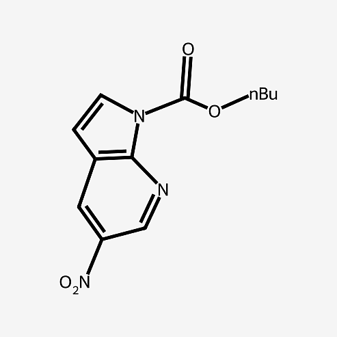 CCCCOC(=O)n1ccc2cc([N+](=O)[O-])cnc21